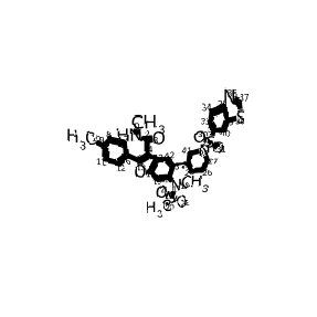 CNC(=O)c1c(-c2ccc(C)cc2)oc2cc(N(C)S(C)(=O)=O)c([C@@H]3CCCN(S(=O)(=O)c4ccc5ncsc5c4)C3)cc12